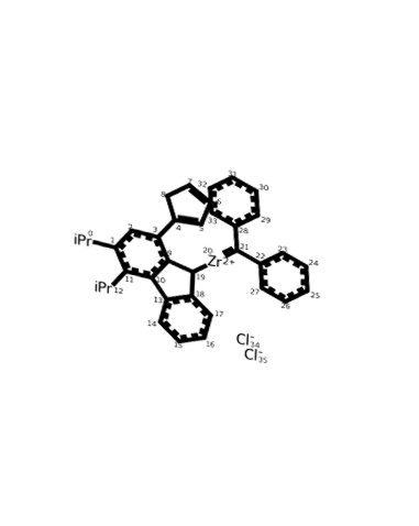 CC(C)c1cc(C2=CC=CC2)c2c(c1C(C)C)-c1ccccc1[CH]2[Zr+2]=[C](c1ccccc1)c1ccccc1.[Cl-].[Cl-]